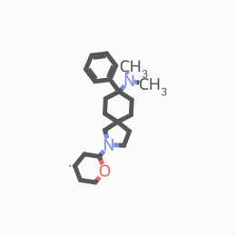 CN(C)C1(c2ccccc2)CCC2(CCN(C3C[CH]CCO3)C2)CC1